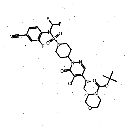 CC(C)(C)OC(=O)N1CCOC[C@@H]1CNc1cnn(C2CCN(S(=O)(=O)N(c3ccc(C#N)cc3F)C(F)F)CC2)c(=O)c1Cl